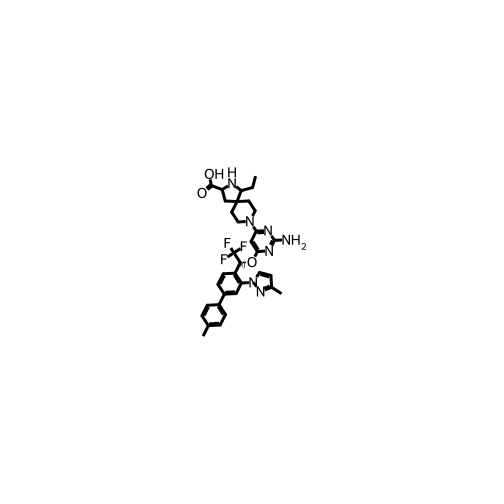 CCC1NC(C(=O)O)CC12CCN(c1cc(O[C@H](c3ccc(-c4ccc(C)cc4)cc3-n3ccc(C)n3)C(F)(F)F)nc(N)n1)CC2